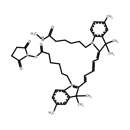 CNC(=O)CCCCCN1C(=CC=CC=CC2=[N+](CCCCCC(=O)ON3C(=O)CCC3=O)c3ccc(C)cc3C2(C)C)C(C)(C)c2cc(C)ccc21